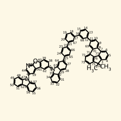 CC1(C)c2cccc3c4ccc(-c5cccc(-c6cccc(-c7ccc(-c8ccc9c%10ccccc%10n(-c%10ccc%11oc%12ncc(-n%13c%14ccccc%14c%14ccccc%14%13)cc%12c%11c%10)c9c8)cc7)c6)c5)cc4c4cccc1c4c23